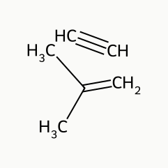 C#C.C=C(C)C